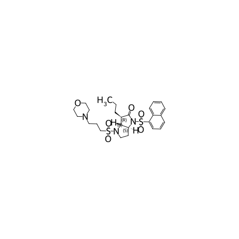 CCC[C@H]1C(=O)N(S(=O)(=O)c2cccc3ccccc23)[C@H]2CCN(S(=O)(=O)CCCN3CCOCC3)[C@H]12